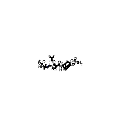 COC(=O)NC(C)(C)/C=C/n1ncc(C(=O)N[C@H]2C3CC4CC2C[C@](OS(N)(=O)=O)(C4)C3)c1OCC(C)C